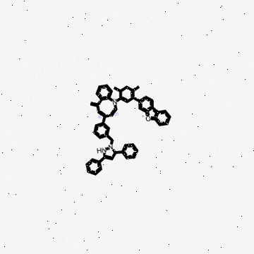 C=C1/C=C(c2cccc(CN3NC(c4ccccc4)=CC3c3ccccc3)c2)\C=C/N(C2=CC(c3ccc4c(c3)oc3ccccc34)=C(C)CC2C)c2ccccc21